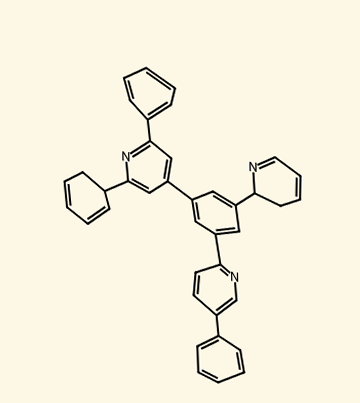 C1=CCC(c2cc(-c3cc(-c4ccc(-c5ccccc5)cn4)cc(C4CC=CC=N4)c3)cc(-c3ccccc3)n2)C=C1